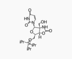 CC(C)[Si](OC[C@H]1O[C@@H](n2ccc(=O)[nH]c2=O)[C@]2(CO)NC(=O)O[C@H]12)(C(C)C)C(C)C